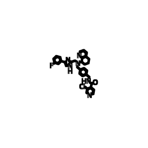 O=C(NCc1ccc(CN(Cc2nc(-c3cccc(F)c3)c[nH]2)C2CCCc3cccnc32)cc1)c1ccncc1Cl